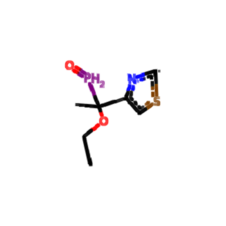 CCOC(C)([PH2]=O)c1cs[c]n1